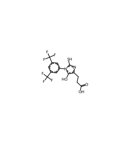 O=C(O)CCc1nc(S)n(-c2cc(C(F)(F)F)cc(C(F)(F)F)c2)c1O